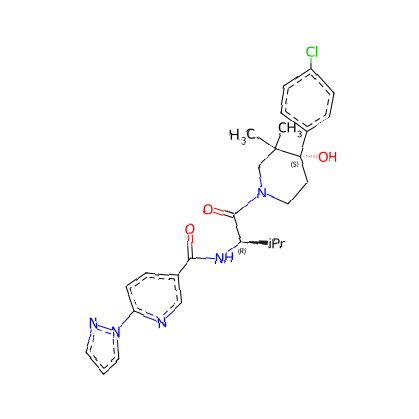 CC(C)[C@@H](NC(=O)c1ccc(-n2cccn2)nc1)C(=O)N1CC[C@](O)(c2ccc(Cl)cc2)C(C)(C)C1